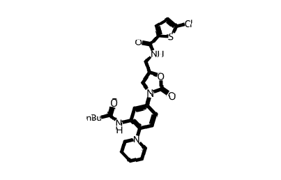 CCCCC(=O)Nc1cc(N2CC(CNC(=O)c3ccc(Cl)s3)OC2=O)ccc1N1CCCCC1